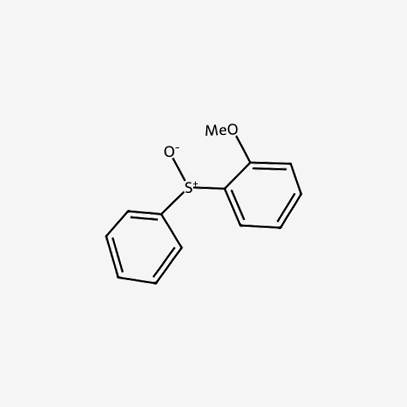 COc1ccccc1[S+]([O-])c1ccccc1